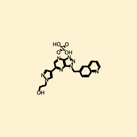 O=S(=O)(O)O.OCCn1cc(-c2cnc3nnn(Cc4ccc5ncccc5c4)c3n2)cn1